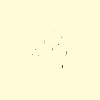 CCC(=O)c1ccc(O)c(CC2CC2)c1O